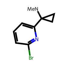 CNC1(c2cccc(Br)n2)CC1